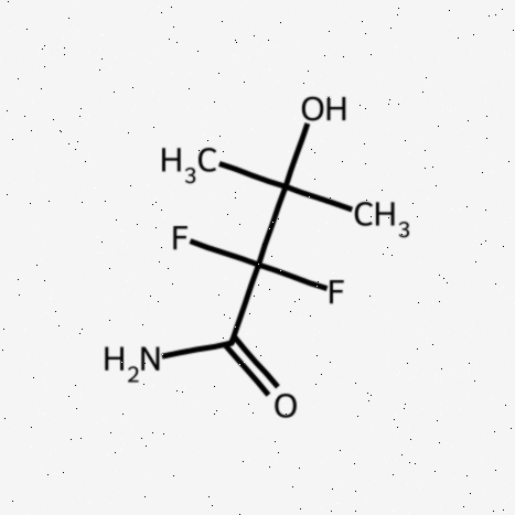 CC(C)(O)C(F)(F)C(N)=O